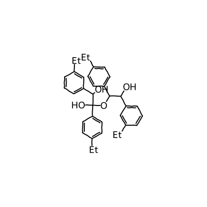 CCc1ccc(C(OC(O)(c2ccc(CC)cc2)C(O)c2cccc(CC)c2)C(O)c2cccc(CC)c2)cc1